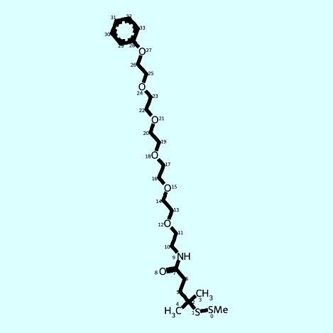 CSSC(C)(C)CCC(=O)NCCOCCOCCOCCOCCOCCOc1ccccc1